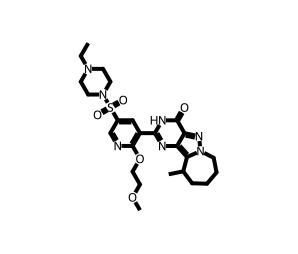 CCN1CCN(S(=O)(=O)c2cnc(OCCOC)c(-c3nc4c5n(nc4c(=O)[nH]3)CCCCC5C)c2)CC1